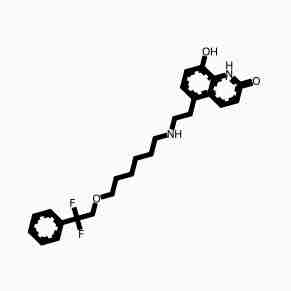 O=c1ccc2c(CCNCCCCCCOCC(F)(F)c3ccccc3)ccc(O)c2[nH]1